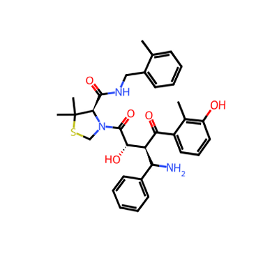 Cc1ccccc1CNC(=O)[C@H]1N(C(=O)[C@@H](O)[C@@H](C(=O)c2cccc(O)c2C)C(N)c2ccccc2)CSC1(C)C